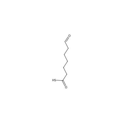 O=CCCCCCC(=O)S